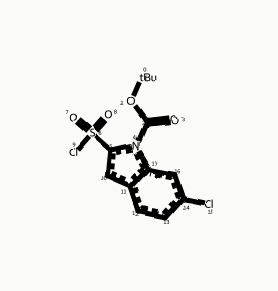 CC(C)(C)OC(=O)n1c(S(=O)(=O)Cl)cc2ccc(Cl)cc21